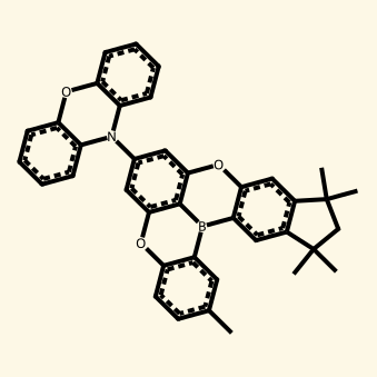 Cc1ccc2c(c1)B1c3cc4c(cc3Oc3cc(N5c6ccccc6Oc6ccccc65)cc(c31)O2)C(C)(C)CC4(C)C